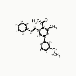 COc1cccc(-c2cc(C)c(C(C)=O)c(/C=C/c3ccccc3)c2)c1